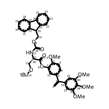 C=C(c1ccc(OC)c(OC(=O)[C@@H](COC(C)(C)C)NC(=O)OCC2c3ccccc3-c3ccccc32)c1)c1cc(OC)c(OC)c(OC)c1